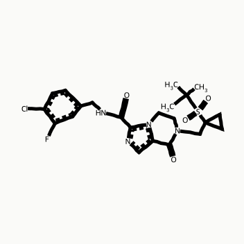 CC(C)(C)S(=O)(=O)C1(CN2CCn3c(cnc3C(=O)NCc3ccc(Cl)c(F)c3)C2=O)CC1